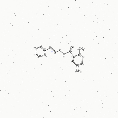 [CH2]c1ccc(N)cc1C(=O)OC/C=C/c1ccccc1